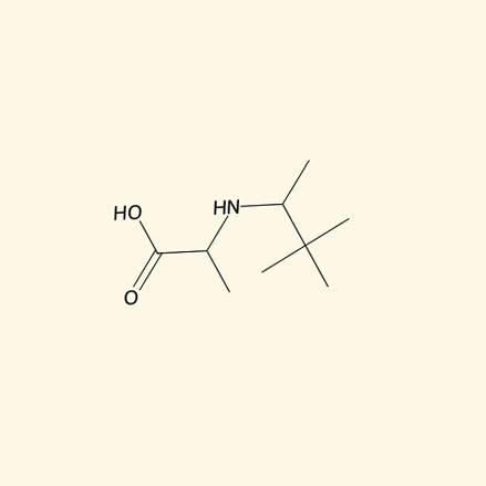 CC(NC(C)C(C)(C)C)C(=O)O